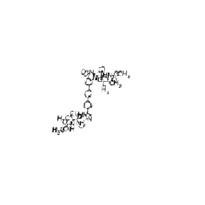 COC(=O)N[C@H](C(=O)N1CCC[C@H]1C1=NC2(COC2)c2ccc(-c3ccc(-c4ccc(-c5cnc([C@@H]6CCCN6C(=O)[C@@H](NC(=O)OC)C(C)C)[nH]5)cc4)cc3)cc2N1)C(C)C